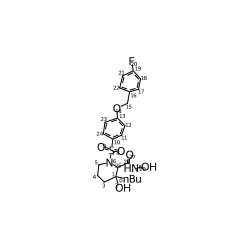 CCCCC1(O)CCCN(S(=O)(=O)c2ccc(OCc3ccc(F)cc3)cc2)C1C(=O)NO